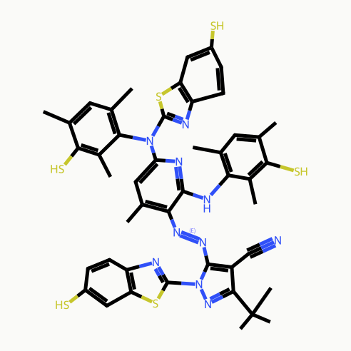 Cc1cc(C)c(Nc2nc(N(c3nc4ccc(S)cc4s3)c3c(C)cc(C)c(S)c3C)cc(C)c2/N=N/c2c(C#N)c(C(C)(C)C)nn2-c2nc3ccc(S)cc3s2)c(C)c1S